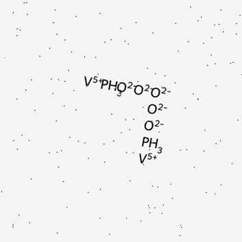 P.P.[O-2].[O-2].[O-2].[O-2].[O-2].[V+5].[V+5]